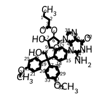 CCCC(=O)O[C@@H]1[C@H](O)[C@@H](C(O)C(c2ccccc2)(c2ccc(OC)cc2)c2ccc(OC)cc2)O[C@H]1n1cnc2c(=O)[nH]c(N)nc21